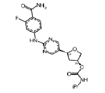 CC(C)NC(=O)O[C@@H]1CO[C@H](c2cnc(Nc3ccc(C(N)=O)c(F)c3)nc2)C1